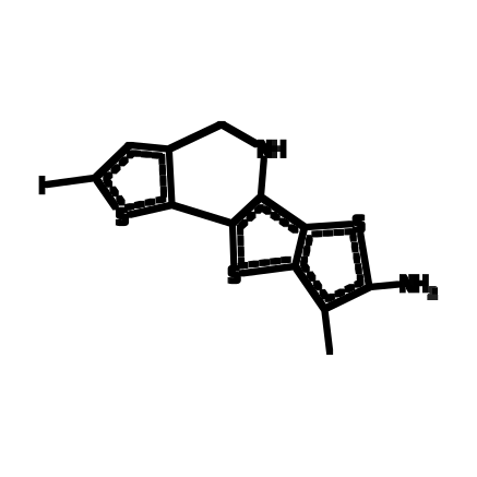 Cc1c(N)sc2c3c(sc12)-c1sc(I)cc1CN3